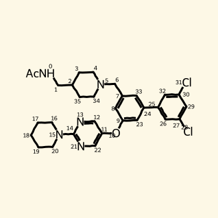 CC(=O)NCC1CCN(Cc2cc(Oc3cnc(N4CCCCC4)nc3)cc(-c3cc(Cl)cc(Cl)c3)c2)CC1